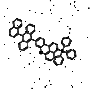 c1ccc([Si](c2ccccc2)(c2ccccc2)c2ccc3c4c(cccc24)Oc2cc(-c4c5ccccc5c(-c5cccc6ccccc56)c5ccccc45)ccc2-3)cc1